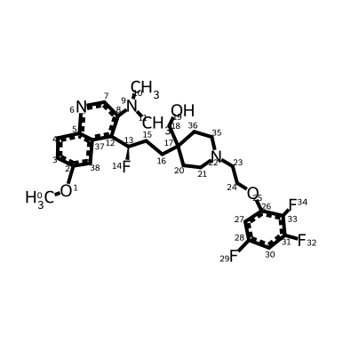 COc1ccc2ncc(N(C)C)c([C@H](F)CCC3(CO)CCN(CCOc4cc(F)cc(F)c4F)CC3)c2c1